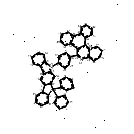 c1ccc(C2(c3ccccc3)c3ccccc3-c3cc4c5ccccc5n(-c5ccc(-c6nc7ccccc7c7c8ccccc8c8ccccc8c67)cc5)c4cc32)cc1